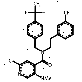 CNc1cnc(Cl)cc1C(=O)N(CCc1cccc(C(F)(F)F)c1)Cc1ccc(C(F)(F)C(F)(F)F)cc1